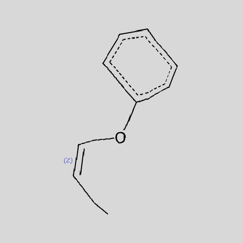 C/C=C\Oc1ccccc1